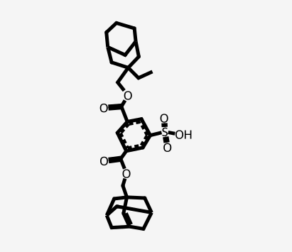 CCC1(COC(=O)c2cc(C(=O)OCC34C=C5CC(CC(C5)C3)C4)cc(S(=O)(=O)O)c2)CC2CCCC(C2)C1